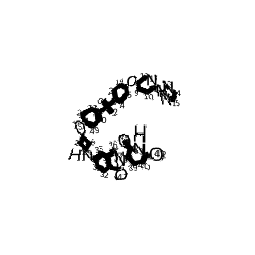 CC(C)(c1ccc(Oc2ccc(-n3nccn3)nc2)cc1)c1ccc(O[C@H]2C[C@H](Nc3ccc4c(c3)CN(C3CCC(=O)NC3=O)C4=O)C2)cc1